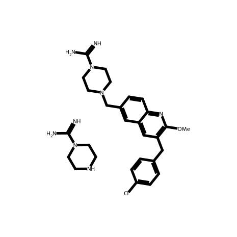 COc1nc2ccc(CN3CCN(C(=N)N)CC3)cc2cc1Cc1ccc(Cl)cc1.N=C(N)N1CCNCC1